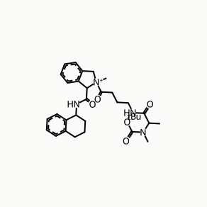 CC(C(=O)NCCCC(=O)[N+]1(C)Cc2ccccc2C1C(=O)NC1CCCc2ccccc21)N(C)C(=O)OC(C)(C)C